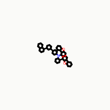 c1cc(-c2ccc(N(c3ccccc3-c3cccc4c3oc3ccccc34)c3cccc4oc5ccccc5c34)cc2)cc(-c2cccc3ccccc23)c1